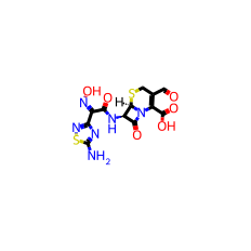 Nc1nc(/C(=N/O)C(=O)N[C@@H]2C(=O)N3C(C(=O)O)=C(C=O)CS[C@H]23)ns1